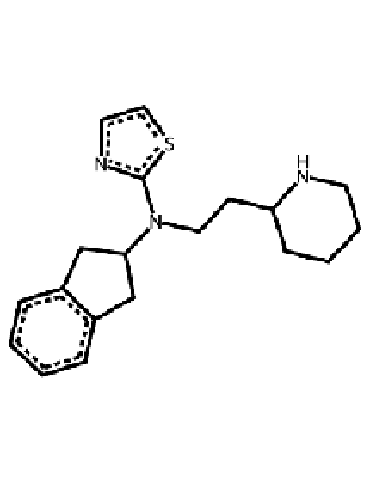 c1ccc2c(c1)CC(N(CCC1CCCCN1)c1nccs1)C2